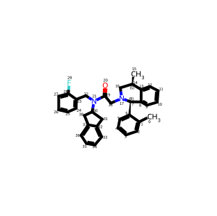 Cc1ccccc1[C@@H]1c2ccccc2[C@H](C)CN1CC(=O)N(Cc1ccccc1F)C1Cc2ccccc2C1